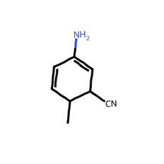 CC1C=CC(N)=CC1C#N